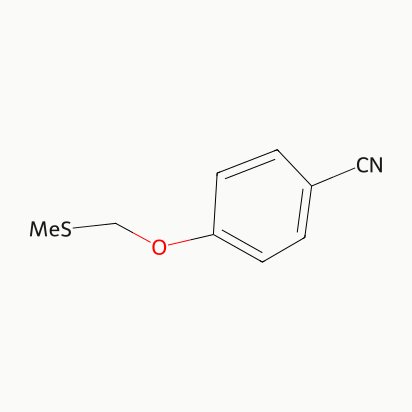 CSCOc1ccc(C#N)cc1